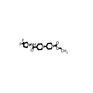 CCOC(=O)N1CCC(N2CCC(C(=O)NN3CCC(F)(F)C3)CC2)CC1